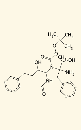 CC(O)C(N)(Cc1ccccc1)N(C(=O)OOC(C)(C)C)C(NC=O)C(O)CCc1ccccc1